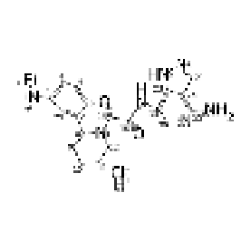 CCN(C)c1cccc(C2CCCCN2C(=O)C(=O)Nc2cnc(N)c3cn[nH]c23)c1.[Cl-].[H+]